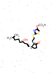 C=C(C)CCC[C@H](O)C/C=C/[C@H]1CCC(=O)[C@@H]1CCSc1nc(OC(=O)O)cs1